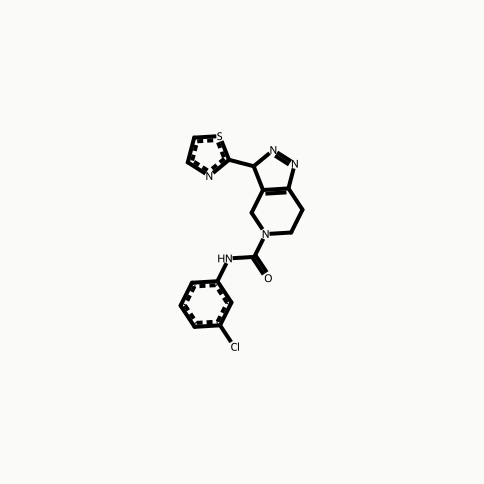 O=C(Nc1cccc(Cl)c1)N1CCC2=C(C1)C(c1nccs1)N=N2